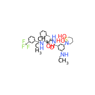 CCNc1cc(C(=O)N[C@@H](Cc2ccccc2)[C@H](O)CNC(C)(C)c2cccc(C(F)(F)F)c2)cc(N2CCCCS2(O)O)c1